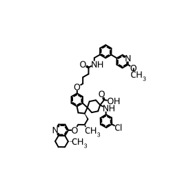 COc1ccc(-c2cccc(CNC(=O)CCCOc3ccc4c(c3)C3(CCC(Nc5cccc(Cl)c5)(C(=O)O)CC3)[C@@H](C[C@@H](C)COc3ccnc5c3[C@H](C)CCC5)C4)c2)cn1